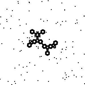 c1ccc(-c2nc(-c3ccccc3)nc(-n3c4ccc(-c5ccc6c(c5)c5cc7c(cc5n6-c5ccccc5)oc5ccccc57)cc4c4cc5c(cc43)oc3ccccc35)n2)cc1